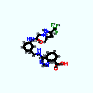 Cc1cc(C(F)(F)F)nn1CC(=O)Nc1cccc(CNc2ncnc3c(C(=O)O)cccc23)c1